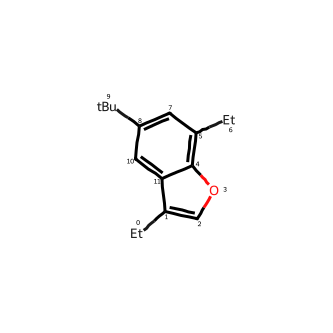 CCc1coc2c(CC)cc(C(C)(C)C)cc12